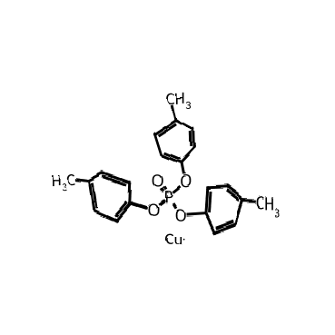 Cc1ccc(OP(=O)(Oc2ccc(C)cc2)Oc2ccc(C)cc2)cc1.[Cu]